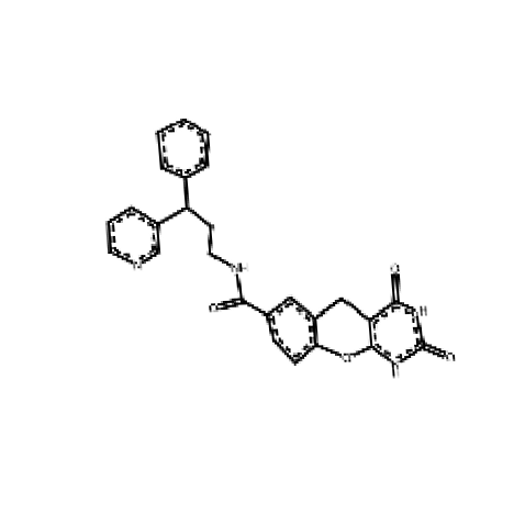 O=C(NCCC(c1ccccc1)c1cccnc1)c1ccc2c(c1)Cc1c([nH]c(=O)[nH]c1=O)O2